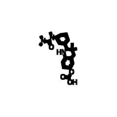 CN(C)C(=O)N(C)c1cccc(C2Nc3ccc(OC(=O)O)cc3CC2(C)C)c1